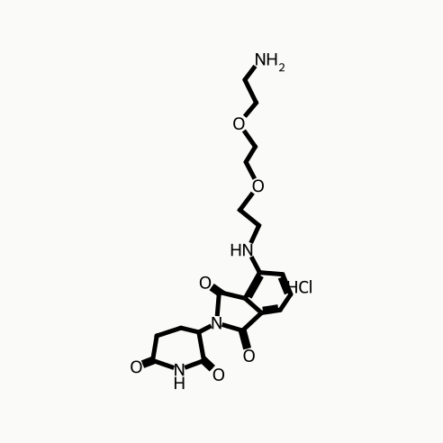 Cl.NCCOCCOCCNc1cccc2c1C(=O)N(C1CCC(=O)NC1=O)C2=O